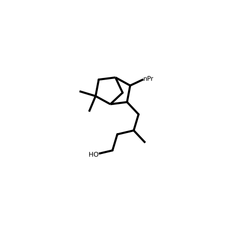 CCCC1C2CC(C1CC(C)CCO)C(C)(C)C2